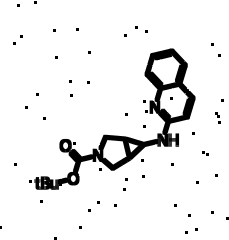 CC(C)(C)OC(=O)N1CC2C(C1)C2Nc1ccc2ccccc2n1